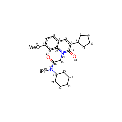 COc1ccc2cc(C3CCCC3)c(=O)n(CC(=O)N(C(C)C)C3CCCCC3)c2c1